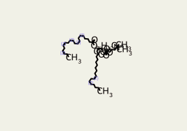 CC/C=C\C/C=C\C/C=C\C/C=C\C/C=C\CCCC(=O)OC[C@H](COP(=O)([O-])OCC[N+](C)(C)C)OC(=O)CCCCCCC/C=C\C/C=C\CCCC